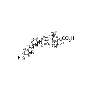 O=C(O)c1ccc2nc(CN3C4CCC45CN(c4cccc(OCc6ccc(C(F)(F)F)cc6F)n4)CC35)n(C[C@@H]3CCO3)c2c1